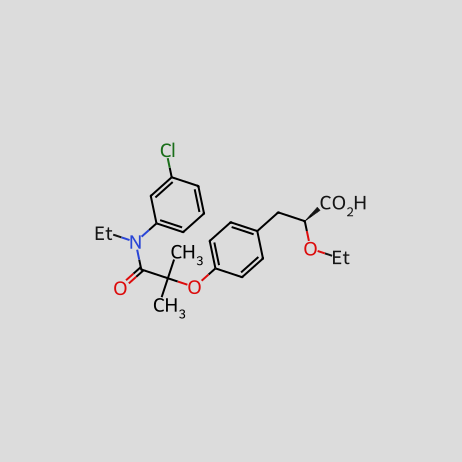 CCO[C@@H](Cc1ccc(OC(C)(C)C(=O)N(CC)c2cccc(Cl)c2)cc1)C(=O)O